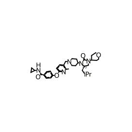 Cc1nc(Oc2ccc(C(=O)NC3CC3)cc2)ccc1CN1CCC(N2C(=O)N(C3CCOCC3)C[C@H]2CC(C)C)CC1